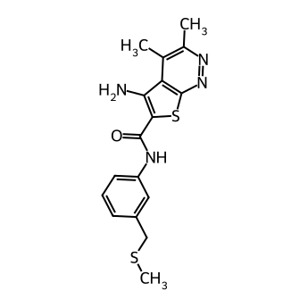 CSCc1cccc(NC(=O)c2sc3nnc(C)c(C)c3c2N)c1